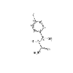 NC(=O)[C@H](F)[C@@H](O)c1ccc(F)cc1